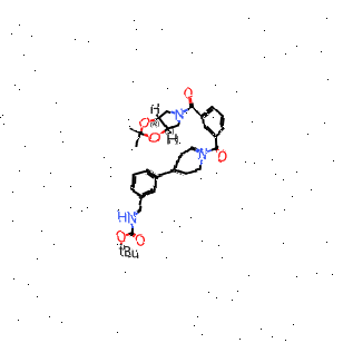 CC(C)(C)OC(=O)NCc1cccc(C2CCN(C(=O)c3cccc(C(=O)N4C[C@@H]5OC(C)(C)O[C@@H]5C4)c3)CC2)c1